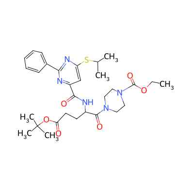 CCOC(=O)N1CCN(C(=O)C(CCC(=O)OC(C)(C)C)NC(=O)c2cc(SC(C)C)nc(-c3ccccc3)n2)CC1